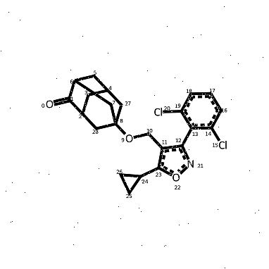 O=C1C2CC3CC1CC(OCc1c(-c4c(Cl)cccc4Cl)noc1C1CC1)(C3)C2